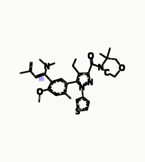 C=C(C)/C=C(/c1cc(-c2c(CC)c(C(=O)N3CCOCC3(C)C)nn2-c2ccsc2)c(C)cc1OC)N(C)C